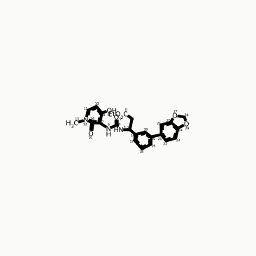 CCOC(=O)CC(NC(=O)Nc1c(O)ccn(C)c1=O)c1cccc(-c2ccc3c(c2)OCO3)c1